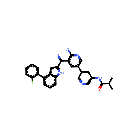 CC(C)C(=O)NC1=CN=CC(c2cnc(N)c(C(=N)c3cc4c(-c5ccccc5F)cccc4[nH]3)c2)C1